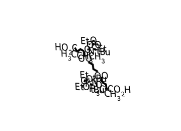 CCOP(=O)(OCC)C(N(C)OC(CC(C)(C)C(=O)O)C(=O)OCCCCOC(=O)C(CC(C)(C)C(=O)O)ON(C(C(C)(C)C)P(=O)(OCC)OCC)C(C)(C)C)C(C)(C)C